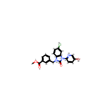 COC(=O)c1cccc(Cn2c(=O)n(-c3ccc(Br)cn3)c3cc(Cl)ccc32)c1